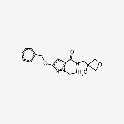 CC1(CN2CCn3nc(OCc4ccccc4)cc3C2=O)COC1